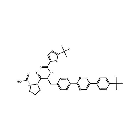 CC(C)(C)c1ccc(-c2cnc(-c3ccc(C[C@H](NC(=O)c4ccc(C(C)(C)C)s4)C(=O)N4CCC[C@@H]4C(=O)O)cc3)nc2)cc1